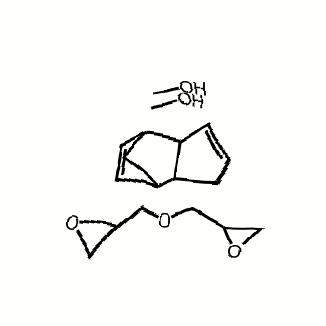 C(OCC1CO1)C1CO1.C1=CC2C3C=CC(C3)C2C1.CO.CO